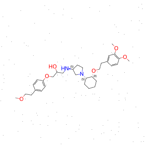 COCCc1ccc(OCC(O)CN[C@H]2CCN([C@H]3CCCC[C@H]3OCCc3ccc(OC)c(OC)c3)C2)cc1